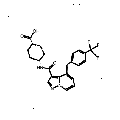 O=C(N[C@H]1CC[C@@H](C(=O)O)CC1)c1cnn2cccc(Cc3ccc(C(F)(F)F)cc3)c12